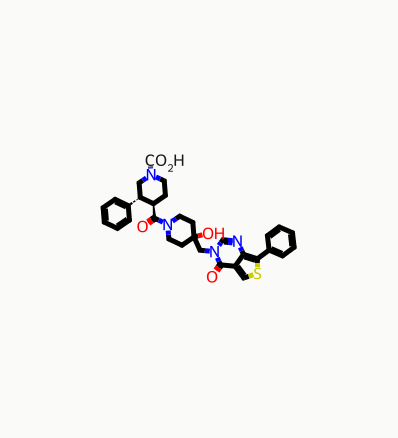 O=C(O)N1CC[C@@H](C(=O)N2CCC(O)(Cn3cnc4c(-c5ccccc5)scc4c3=O)CC2)[C@H](c2ccccc2)C1